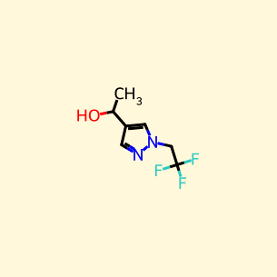 CC(O)c1cnn(CC(F)(F)F)c1